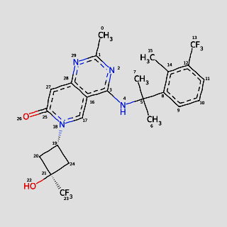 Cc1nc(NC(C)(C)c2cccc(C(F)(F)F)c2C)c2cn([C@H]3C[C@@](O)(C(F)(F)F)C3)c(=O)cc2n1